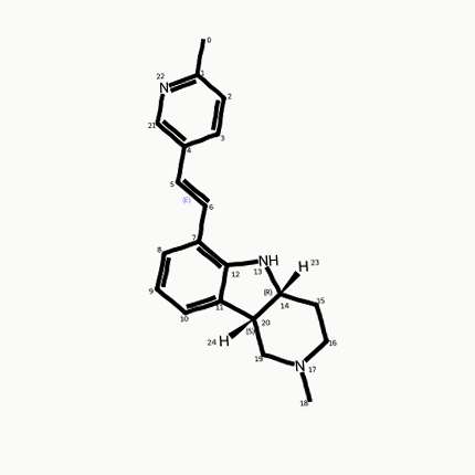 Cc1ccc(/C=C/c2cccc3c2N[C@@H]2CCN(C)C[C@H]32)cn1